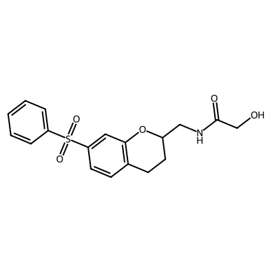 O=C(CO)NCC1CCc2ccc(S(=O)(=O)c3ccccc3)cc2O1